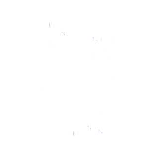 CN(C)CCNS(=O)(=O)c1cccc(C#Cc2cnn(C)c2-c2ccc(-c3ccccc3)cc2)c1